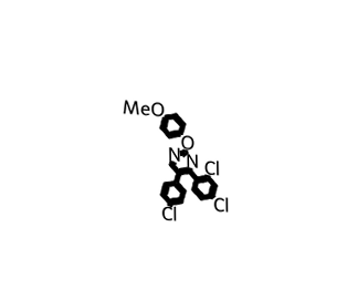 COc1ccc(Oc2ncc(-c3ccc(Cl)cc3)c(-c3ccc(Cl)cc3Cl)n2)cc1